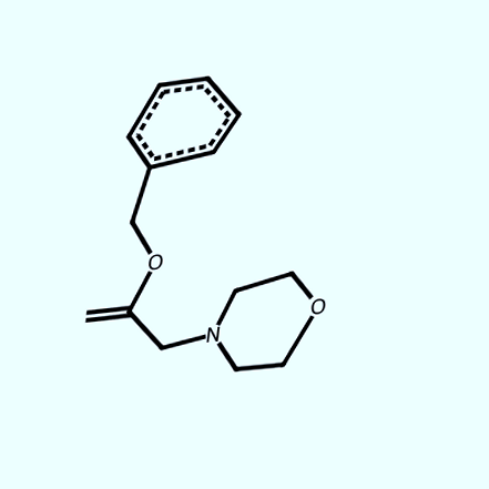 C=C(CN1CCOCC1)OCc1ccccc1